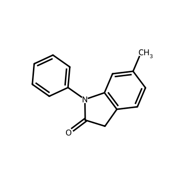 Cc1ccc2c(c1)N(c1ccccc1)C(=O)C2